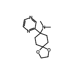 CN(C)C1(c2cnccn2)CCC2(CC1)OCCO2